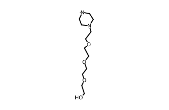 OCCOCCOCCOCCN1CC[N]CC1